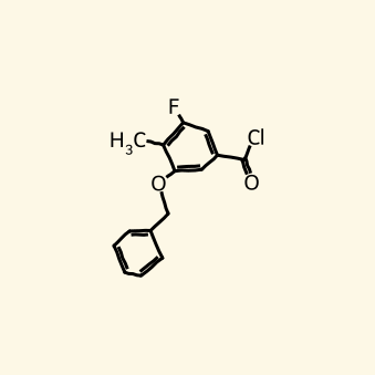 Cc1c(F)cc(C(=O)Cl)cc1OCc1ccccc1